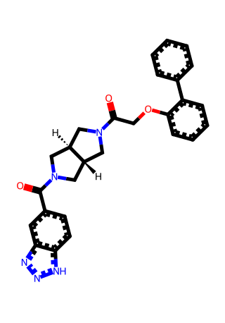 O=C(COc1ccccc1-c1ccccc1)N1C[C@@H]2CN(C(=O)c3ccc4[nH]nnc4c3)C[C@H]2C1